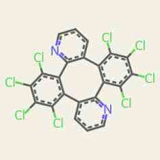 Clc1c(Cl)c(Cl)c2c(c1Cl)-c1cccnc1-c1c(Cl)c(Cl)c(Cl)c(Cl)c1-c1cccnc1-2